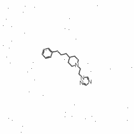 c1ccc(CCCC2CCN(CCn3cncn3)CC2)cc1